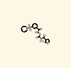 CN(C(=O)ONC(=O)c1cccc(S(=O)(=O)N2C=CC=CC=C2)c1)C(=O)c1ccsc1